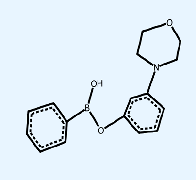 OB(Oc1cccc(N2CCOCC2)c1)c1ccccc1